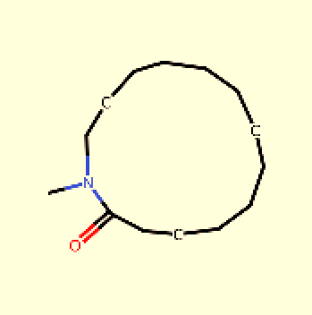 CN1CCCCCCCCCCCCC1=O